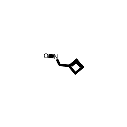 O=NCC1=C=CC1